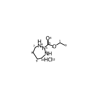 CCOC(=O)N1NCCCCN1.Cl